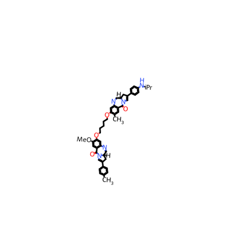 COc1cc2c(cc1OCCCCCOc1cc3c(cc1C)C(=O)N1C=C(c4ccc(NC(C)C)cc4)C[C@H]1C=N3)N=C[C@@H]1CC(c3ccc(C)cc3)=CN1C2=O